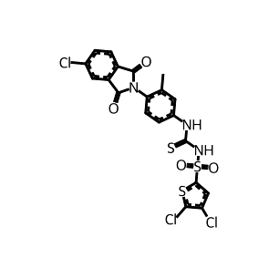 Cc1cc(NC(=S)NS(=O)(=O)c2cc(Cl)c(Cl)s2)ccc1N1C(=O)c2ccc(Cl)cc2C1=O